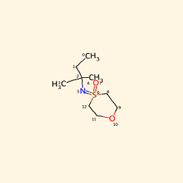 CCC(C)(C)N=S1(=O)CCOCC1